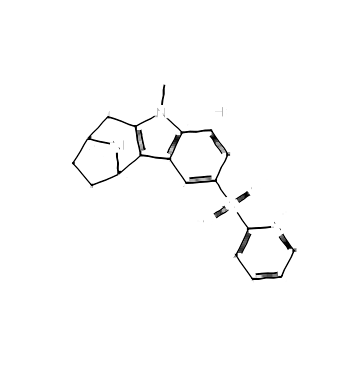 Cl.Cn1c2c(c3cc(S(=O)(=O)c4ccccn4)ccc31)C1CCC(C2)N1